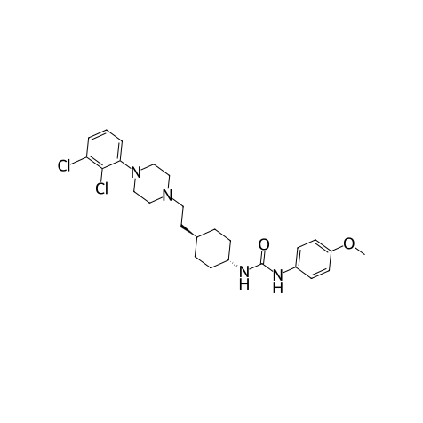 COc1ccc(NC(=O)N[C@H]2CC[C@H](CCN3CCN(c4cccc(Cl)c4Cl)CC3)CC2)cc1